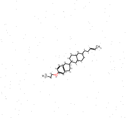 CC=CCCC1CCC2CC(C3CCc4cc(OCCC)ccc4C3)CCC2C1